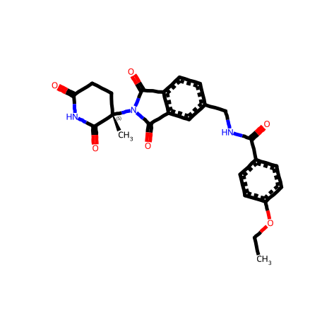 CCOc1ccc(C(=O)NCc2ccc3c(c2)C(=O)N([C@@]2(C)CCC(=O)NC2=O)C3=O)cc1